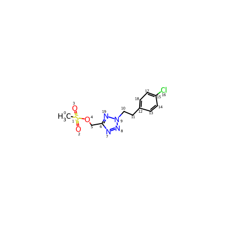 CS(=O)(=O)OCc1nnn(CCc2ccc(Cl)cc2)n1